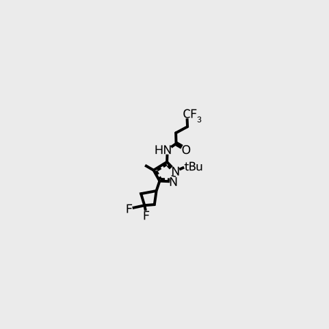 Cc1c(C2CC(F)(F)C2)nn(C(C)(C)C)c1NC(=O)CCC(F)(F)F